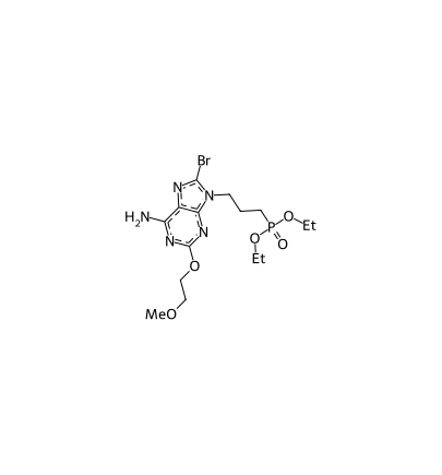 CCOP(=O)(CCCn1c(Br)nc2c(N)nc(OCCOC)nc21)OCC